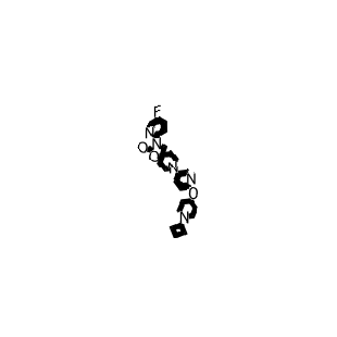 O=C1OC2(CCN(c3ccc(OC4CCN(C5CCC5)CC4)nc3)CC2)CN1c1ccc(F)cn1